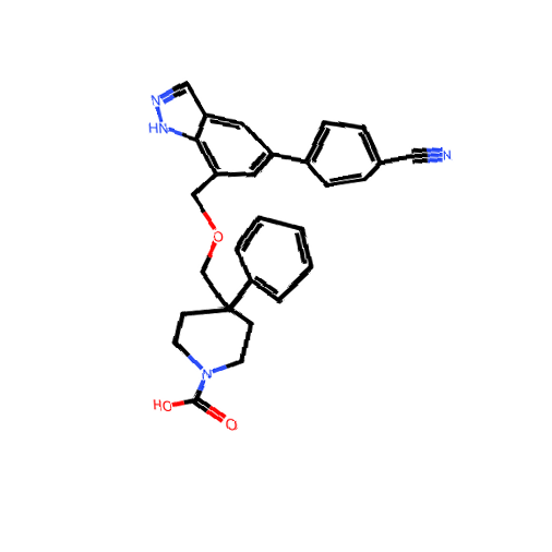 N#Cc1ccc(-c2cc(COCC3(c4ccccc4)CCN(C(=O)O)CC3)c3[nH]ncc3c2)cc1